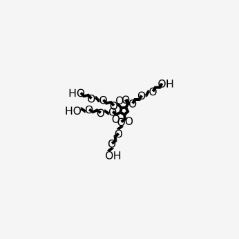 O=C(OCCOCCOCCO)C1CC(C(=O)OCCOCCOCCO)C(C(=O)OCCOCCOCCO)C1C(=O)OCCOCCOCCO